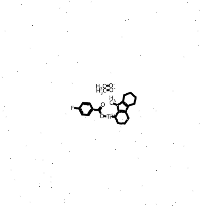 CC1C2=C(CCCC2)C2=C1[CH]([Ti+2][O]C(=O)c1ccc(F)cc1)CCC2.C[O-].C[O-]